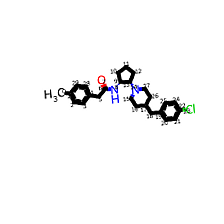 Cc1ccc(CC(=O)N[C@@H]2CCC[C@H]2N2CCC(Cc3ccc(Cl)cc3)CC2)cc1